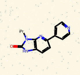 CC(C)n1c(=O)[nH]c2ccc(-c3ccncc3)nc21